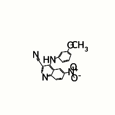 COc1cccc(Nc2c(C#N)cnc3ccc([N+](=O)[O-])cc23)c1